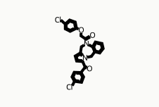 O=C(c1ccc(Cl)cc1)c1ccc2n1Cc1ccccc1N(C(=O)COc1ccc(Cl)cc1)C2